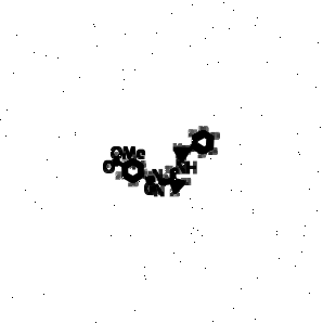 COC(=O)[C@H]1CC[C@H](c2nc(C3(CN[C@@H]4C[C@H]4c4ccccc4)CC3)no2)CC1